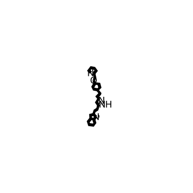 Cn1c(C=Cc2cc(C=Cc3ccc(OCc4ccccn4)cc3)n[nH]2)cc2ccccc21